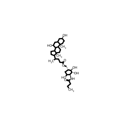 CCCC(=O)N[C@H]1C(O)C[C@H](COC(=O)CCC(C)C2CCC3C4C(CC[C@]23C)[C@@]2(C)CC[C@H](O)CC2C[C@@H]4O)[C@@H](O)[C@@H]1O